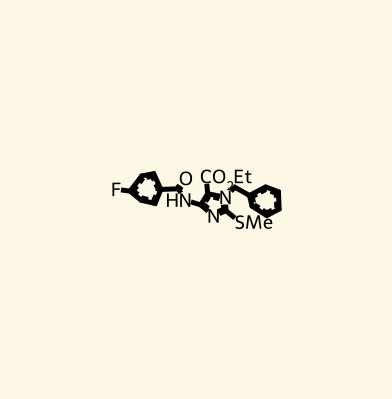 CCOC(=O)c1c(NC(=O)c2ccc(F)cc2)nc(SC)n1Cc1ccccc1